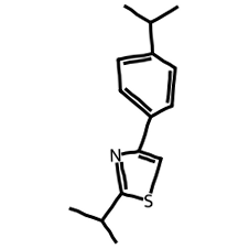 CC(C)c1ccc(-c2csc(C(C)C)n2)cc1